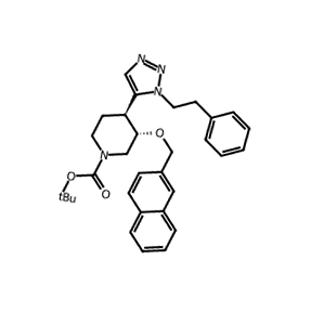 CC(C)(C)OC(=O)N1CC[C@@H](c2cnnn2CCc2ccccc2)[C@H](OCc2ccc3ccccc3c2)C1